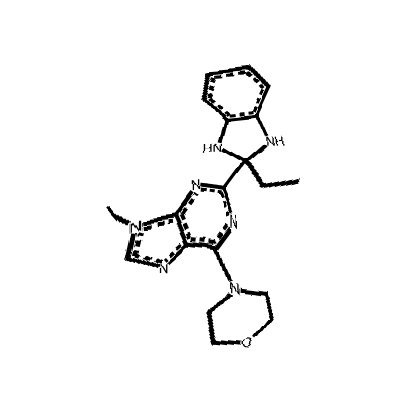 CCC1(c2nc(N3CCOCC3)c3ncn(C)c3n2)Nc2ccccc2N1